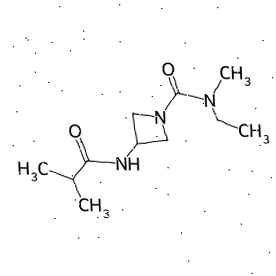 CCN(C)C(=O)N1CC(NC(=O)C(C)C)C1